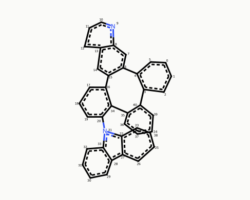 c1ccc2c(c1)-c1cc3ncccc3cc1-c1cccc(-n3c4ccccc4c4ccccc43)c1-c1ccccc1-2